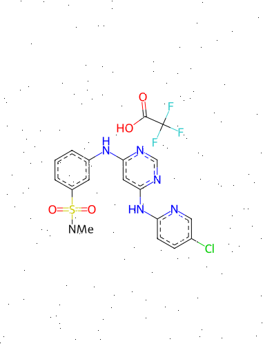 CNS(=O)(=O)c1cccc(Nc2cc(Nc3ccc(Cl)cn3)ncn2)c1.O=C(O)C(F)(F)F